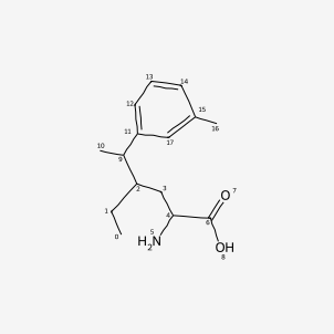 CCC(CC(N)C(=O)O)C(C)c1cccc(C)c1